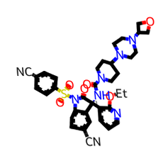 CCOc1ncccc1[C@]1(NC(=O)N2CCC(N3CCN(C4COC4)CC3)CC2)C(=O)N(S(=O)(=O)c2ccc(C#N)cc2)c2ccc(C#N)cc21